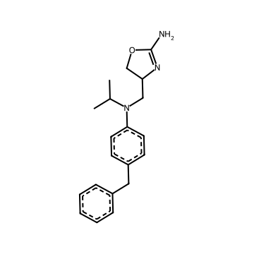 CC(C)N(CC1COC(N)=N1)c1ccc(Cc2ccccc2)cc1